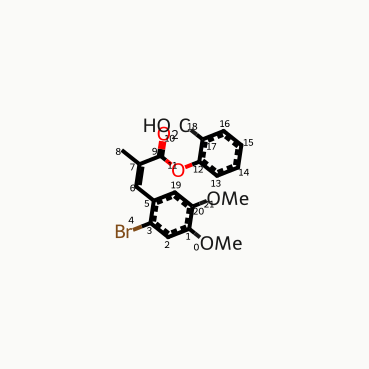 COc1cc(Br)c(C=C(C)C(=O)Oc2ccccc2C(=O)O)cc1OC